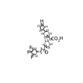 O=C(O)C(C1CCN(C(=O)/C=C/c2cc(F)c(F)c(F)c2)CC1)N1CCC(c2cc[nH]c2)CC1